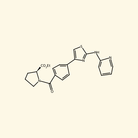 CCOC(=O)[C@@H]1CCCN1C(=O)c1ccc(-c2csc(Nc3ccccn3)n2)cc1